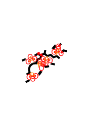 CCOP(=O)(O/C=C\OC)C(C)CCC(C(C)CCCC1C(P(=O)(OCC)OCC)CCC(C)P(=O)(OCC)O/C=C\OP1(=O)OCC)P(=O)(OCC)OCC